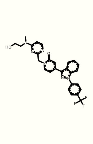 CN(CCO)c1ccnc(Cn2ccc(-c3nn(-c4ccc(C(F)(F)F)cc4)c4ccccc34)cc2=O)n1